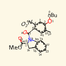 CCCCOc1cc([N+](=O)[O-])c(C(=O)N2c3ccccc3C[C@H]2C(=O)OC)cc1C